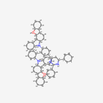 c1ccc(-c2cc(-c3ccc(-n4c5ccccc5c5c6oc7ccccc7c6ccc54)c(-c4ccccc4-n4c5ccccc5c5c6oc7ccccc7c6ccc54)c3)nc(-c3ccccc3)n2)cc1